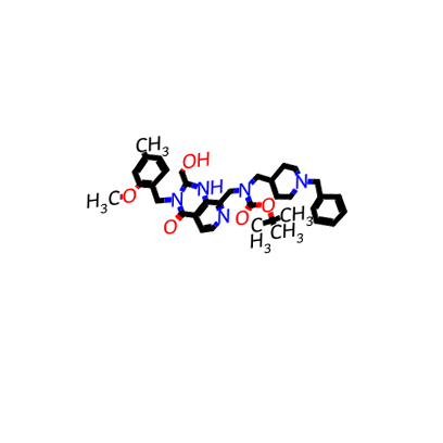 COc1cc(C)ccc1CN1C(=O)c2ccnc(CN(CC3CCN(Cc4ccccc4)CC3)C(=O)OC(C)(C)C)c2NC1CO